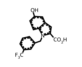 O=C(O)c1cc2cc(O)ccc2n1Cc1cccc(C(F)(F)F)c1